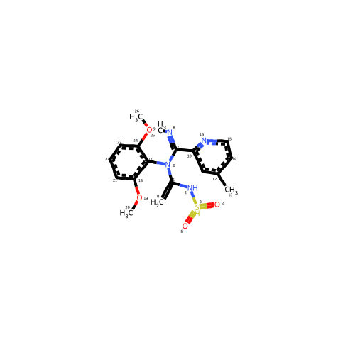 C=C(N[SH](=O)=O)N(/C(=N\C)c1cc(C)ccn1)c1c(OC)cccc1OC